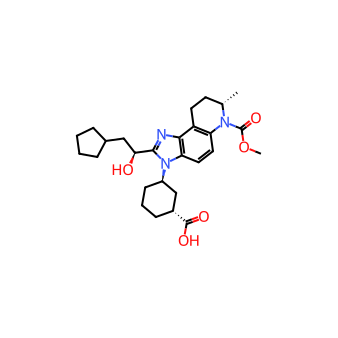 COC(=O)N1c2ccc3c(nc([C@@H](O)CC4CCCC4)n3[C@@H]3CCC[C@@H](C(=O)O)C3)c2CC[C@@H]1C